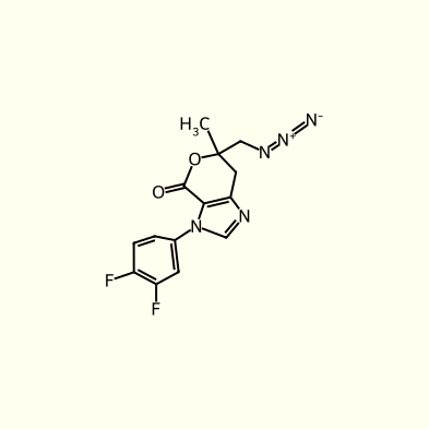 CC1(CN=[N+]=[N-])Cc2ncn(-c3ccc(F)c(F)c3)c2C(=O)O1